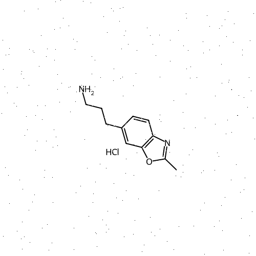 Cc1nc2ccc(CCCN)cc2o1.Cl